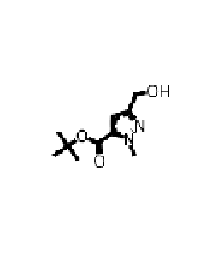 Cn1nc(CO)cc1C(=O)OC(C)(C)C